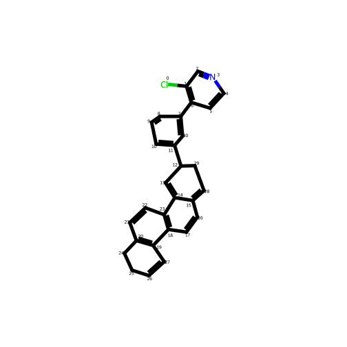 Clc1cnccc1-c1cccc(C2C=c3c(ccc4c5c(ccc34)CCC=C5)=CC2)c1